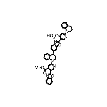 COC(=O)c1cc(N2CCC(c3ccc4nc(-c5cnc(N6CCCc7ccccc76)cc5C(=O)O)oc4c3)c3ccccc32)ncc1-c1nc2ccccc2o1